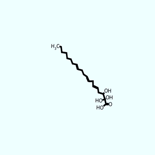 CCCCCCC/C=C/CC/C=C/C/C=C/CC(O)C(O)(O)C(=O)O